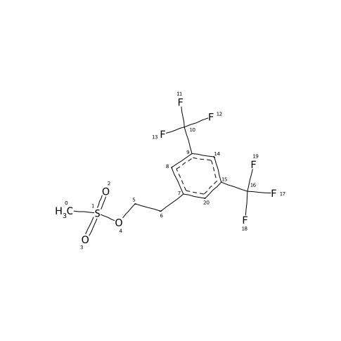 CS(=O)(=O)OCCc1cc(C(F)(F)F)cc(C(F)(F)F)c1